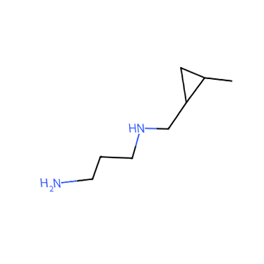 CC1CC1CNCCCN